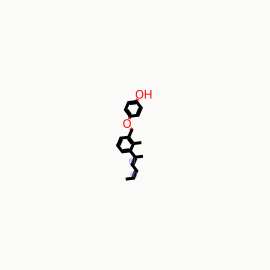 C/C=C\C=C(/C)c1cccc(COc2ccc(O)cc2)c1C